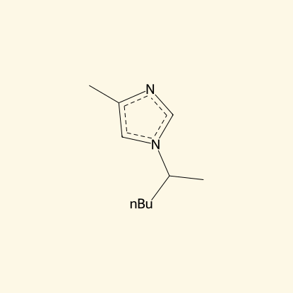 CCCCC(C)n1cnc(C)c1